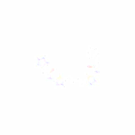 O=C(Cc1ccccc1)Nc1nnc(CCCCc2nnc(NC(=O)Cc3nnn[nH]3)s2)s1